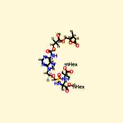 CCCCCCOC(=O)C(C)(C)NP(=O)(CO[C@H](C)Cn1cnc2c(NC(=O)OCC(C)(C)C(=O)OCC3=C(C)CC(=O)O3)ncnc21)NC(C)(C)C(=O)OCCCCCC